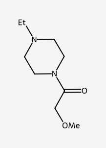 CCN1CCN(C(=O)COC)CC1